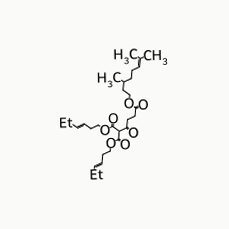 CCC=CCCOC(=O)C(C(=O)CCC(=O)OCCC(C)CCC=C(C)C)C(=O)OCCC=CCC